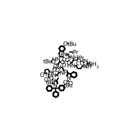 CC(C)C[C@H](NC(=O)[C@@H](CC(C)C)NC(=O)[C@H](Cc1ccc(OC(C)(C)C)cc1)NC(=O)[C@H](COC(C)(C)C)NC(=O)[C@H](Cc1cn(C(=O)OC(C)(C)C)c2ccccc12)NC(=O)[C@H](Cc1cn(C(c2ccccc2)(c2ccccc2)c2ccccc2)cn1)NC(=O)[C@@H]1CCC(=O)N1C(=O)OC(C)(C)C)C(=O)N[C@@H](CCCNC(=N)N)C(=O)O